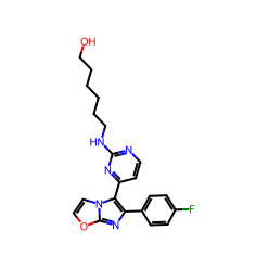 OCCCCCCNc1nccc(-c2c(-c3ccc(F)cc3)nc3occn23)n1